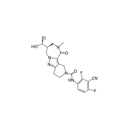 CC[C@H](O)[C@H]1CN(C)C(=O)c2c3c(nn2C1)CCN(C(=O)Nc1ccc(F)c(C#N)c1F)C3